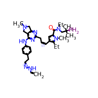 C=CN/N=C\Cc1ccc(Nc2nc(C/C=C\c3cc(C(=O)N(CC)CC(C)(C)P)n(C)c3CC)nc3c2CN(C)C3)cc1